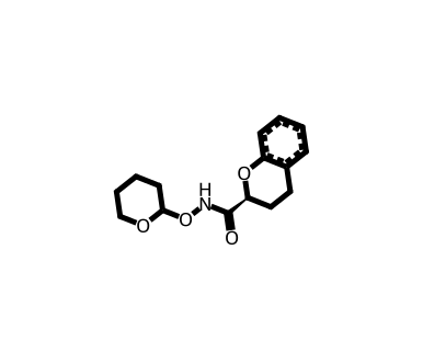 O=C(NOC1CCCCO1)[C@@H]1CCc2ccccc2O1